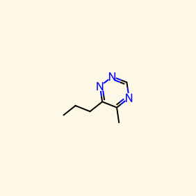 CCCc1nncnc1C